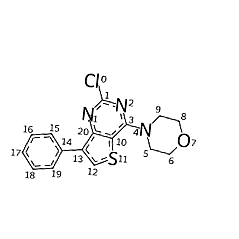 Clc1nc(N2CCOCC2)c2scc(-c3ccccc3)c2n1